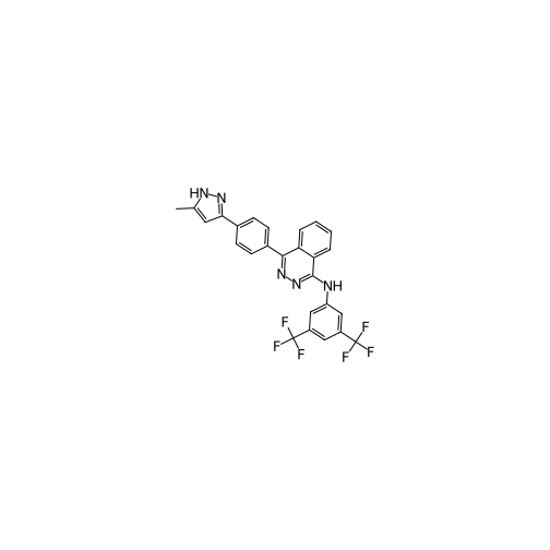 Cc1cc(-c2ccc(-c3nnc(Nc4cc(C(F)(F)F)cc(C(F)(F)F)c4)c4ccccc34)cc2)n[nH]1